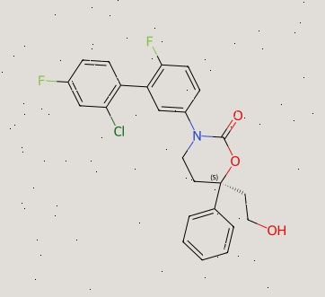 O=C1O[C@@](CCO)(c2ccccc2)CCN1c1ccc(F)c(-c2ccc(F)cc2Cl)c1